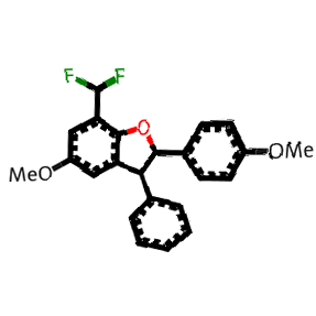 COc1ccc(C2Oc3c(C(F)F)cc(OC)cc3C2c2ccccc2)cc1